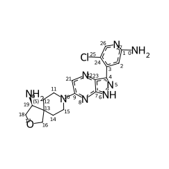 Nc1cc(-c2n[nH]c3nc(N4CCC5(CC4)COC[C@H]5N)cnc23)c(Cl)cn1